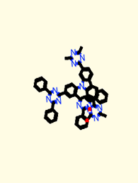 Cc1nc(C)nc(-c2ccc3c4ccc(-c5nc(C)nc(C)n5)cc4n(-c4ccc(-c5nc(-c6ccccc6)nc(-c6ccccc6)n5)cc4-c4cc(-c5ccccc5)nc(-c5ccccc5)n4)c3c2)n1